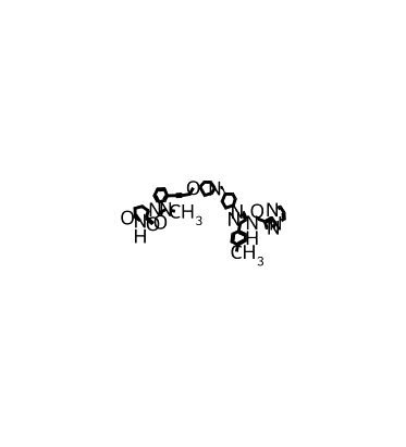 Cc1ccc(-c2nn([C@H]3CC[C@H](CN4CCC(OCC#Cc5cccc6c5n(C)c(=O)n6C5CCC(=O)NC5=O)CC4)CC3)cc2NC(=O)c2cnn3cccnc23)cc1